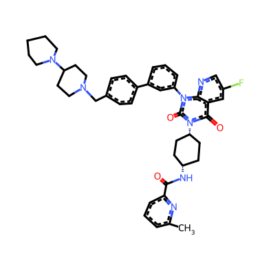 Cc1cccc(C(=O)N[C@H]2CC[C@@H](n3c(=O)c4cc(F)cnc4n(-c4cccc(-c5ccc(CN6CCC(N7CCCCC7)CC6)cc5)c4)c3=O)CC2)n1